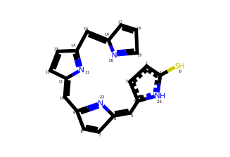 Sc1ccc(C=C2C=CC(C=C3C=CC(C=C4C=CC=N4)=N3)=N2)[nH]1